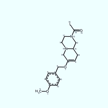 COc1ccc(COC2=CCC3CN(C(=O)I)CCN3C2)cc1